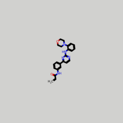 C=CC(=O)Nc1cccc(-c2ccnc(Nc3ccccc3N3CCOCC3)n2)c1